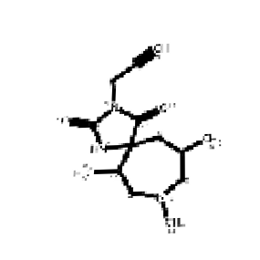 C#CCN1C(=O)NC2(CC(C)CN(C)CC2C)C1=O